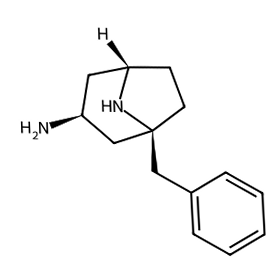 N[C@H]1C[C@@H]2CC[C@](Cc3ccccc3)(C1)N2